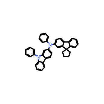 c1ccc(N(c2ccc3c(c2)C2(CCCC2)c2ccccc2-3)c2ccc3c4ccccc4n(-c4ccccc4)c3c2)cc1